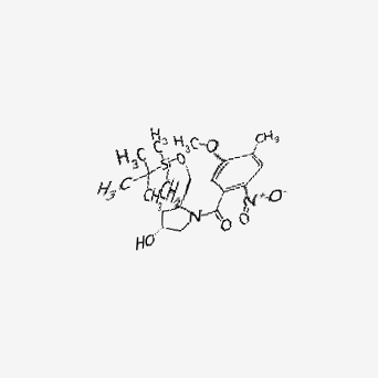 COc1cc(C(=O)N2C[C@H](O)C[C@H]2CO[Si](C)(C)C(C)(C)C)c([N+](=O)[O-])cc1C